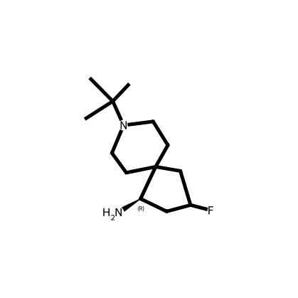 CC(C)(C)N1CCC2(CC1)CC(F)C[C@H]2N